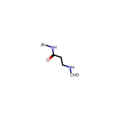 CC(C)NC(=O)CCNC=O